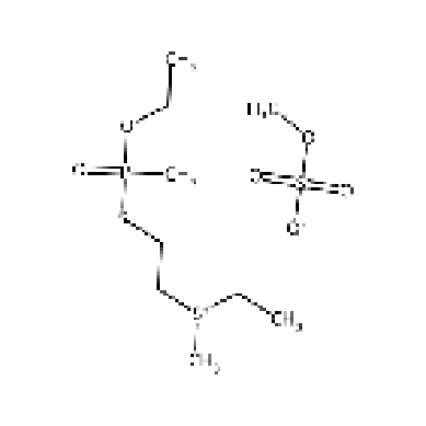 CCOP(C)(=O)SCC[S+](C)CC.COS(=O)(=O)[O-]